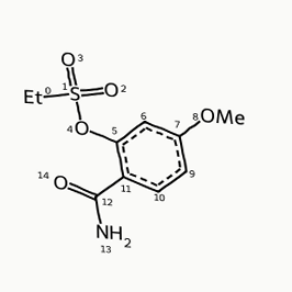 CCS(=O)(=O)Oc1cc(OC)ccc1C(N)=O